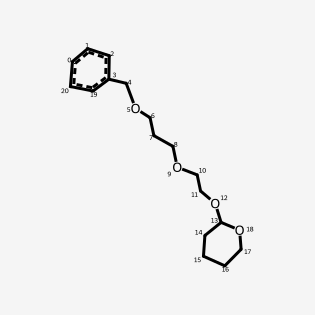 c1ccc(COCCCOCCOC2CCCCO2)cc1